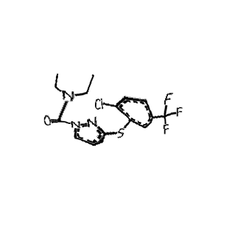 CCN(CC)C(=O)n1ccc(Sc2cc(C(F)(F)F)ccc2Cl)n1